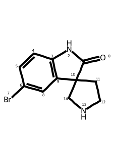 O=C1Nc2ccc(Br)cc2C12CCNC2